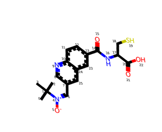 CC(C)(C)/[N+]([O-])=C\c1cnc2ccc(C(=O)NC(CS)C(=O)O)cc2c1